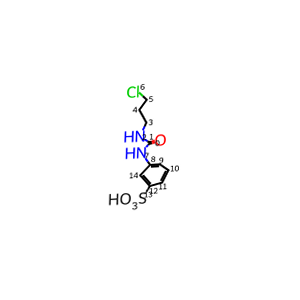 O=C(NCCCCl)Nc1cccc(S(=O)(=O)O)c1